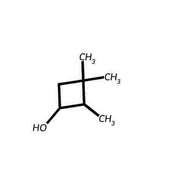 CC1C(O)CC1(C)C